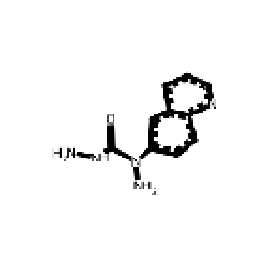 NNC(=O)N(N)c1ccc2ncccc2c1